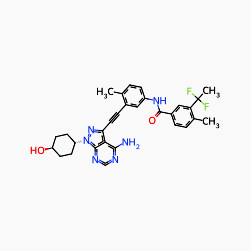 Cc1ccc(NC(=O)c2ccc(C)c(C(C)(F)F)c2)cc1C#Cc1nn([C@H]2CC[C@H](O)CC2)c2ncnc(N)c12